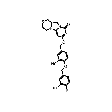 N#Cc1cc(COc2ccc(COc3cc4n(c(=O)n3)CC3CSCCN43)cc2C#N)ccc1F